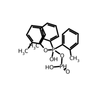 Cc1ccccc1OP(O)(O[PH](=O)O)(c1ccccc1C)c1ccccc1C